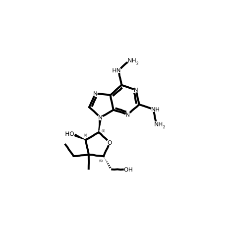 CCC1(C)[C@@H](CO)O[C@H](n2cnc3c(NN)nc(NN)nc32)[C@@H]1O